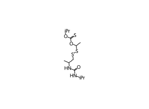 CC(C)NC(=O)NC(C)CSSC(C)OC(=S)OC(C)C